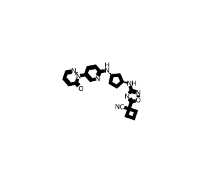 N#CC1(c2nc(N[C@H]3CC[C@H](Nc4ccc(-n5ncccc5=O)cn4)C3)no2)CCC1